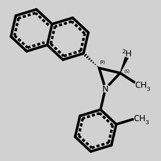 [2H][C@]1(C)[C@@H](c2ccc3ccccc3c2)N1c1ccccc1C